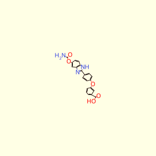 NC(=O)Oc1ccc2[nH]c(-c3ccc(Oc4cccc(C(=O)O)c4)cc3)nc2c1